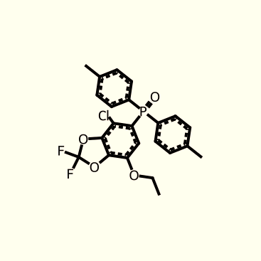 CCOc1cc(P(=O)(c2ccc(C)cc2)c2ccc(C)cc2)c(Cl)c2c1OC(F)(F)O2